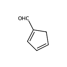 O=CC1=CC=CC1